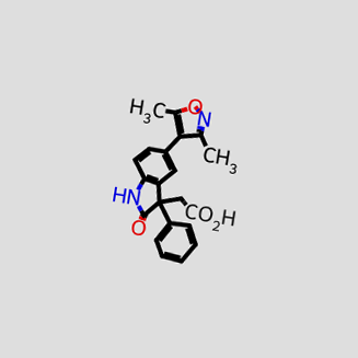 Cc1noc(C)c1-c1ccc2c(c1)C(CC(=O)O)(c1ccccc1)C(=O)N2